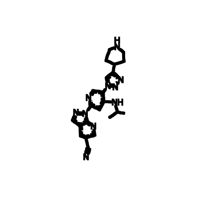 CC(C)Nc1cc(-n2ncc3cc(C#N)cnc32)ncc1-n1cc(C2CCNCC2)nn1